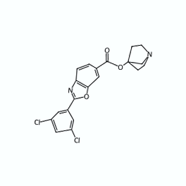 O=C(OC12CCN(CC1)C2)c1ccc2nc(-c3cc(Cl)cc(Cl)c3)oc2c1